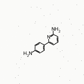 Nc1ccc(-c2cccc(N)n2)cc1